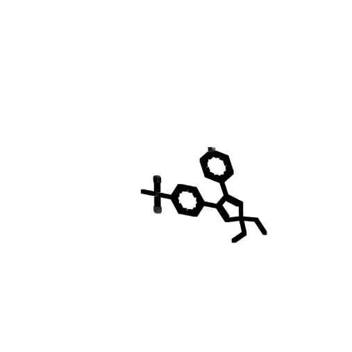 CCC1(CC)C=C(c2ccncc2)C(c2ccc(S(C)(=O)=O)cc2)=C1